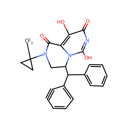 O=C1c2c(O)c(=O)nc(O)n2C(C(c2c#cccc2)c2ccccc2)CN1C1(C(F)(F)F)CC1